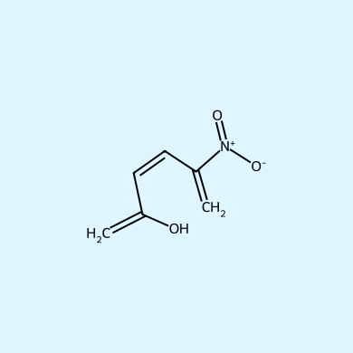 C=C(O)/C=C\C(=C)[N+](=O)[O-]